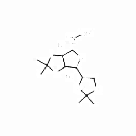 CC1(C)O[C@H]2[C@@H](O1)[C@H](NO)O[C@H]2[C@H]1COC(C)(C)O1